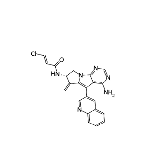 C=C1c2c(-c3cnc4ccccc4c3)c3c(N)ncnc3n2C[C@H]1NC(=O)C=CCl